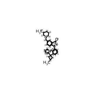 CC1CC(c2cccc(C3=NC(=O)c4cc(CN5CCC[C@H](C)C5)ccc43)c2)(c2nncn2C)C1